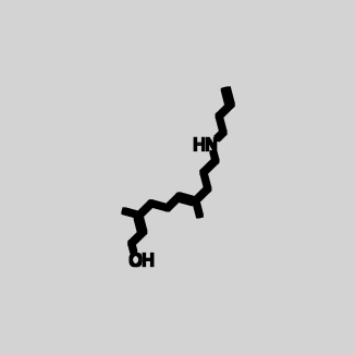 C=CCCNCCCC(C)=CCCC(C)=CCO